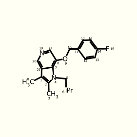 Cc1c(C)n(CC(C)C)c2c(OCc3ccc(F)cc3)cncc12